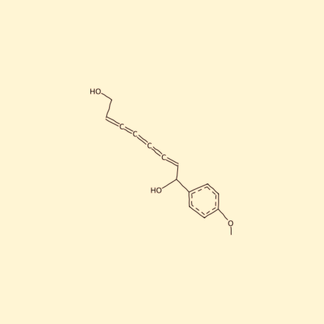 COc1ccc(C(O)C=C=C=C=C=CCO)cc1